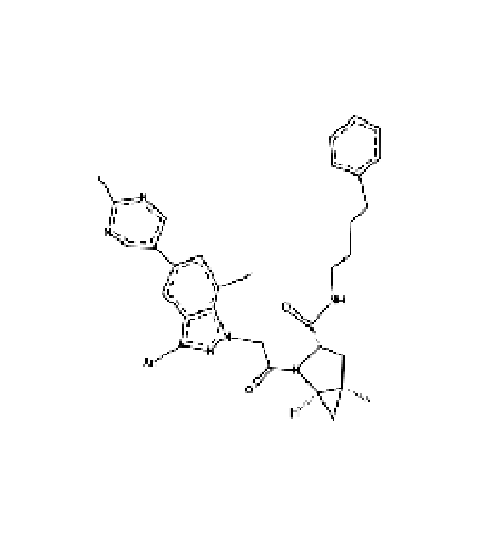 CC(=O)c1nn(CC(=O)N2[C@H](C(=O)NCCCCc3ccccc3)C[C@@]3(C)C[C@@H]23)c2c(C)cc(-c3cnc(C)nc3)cc12